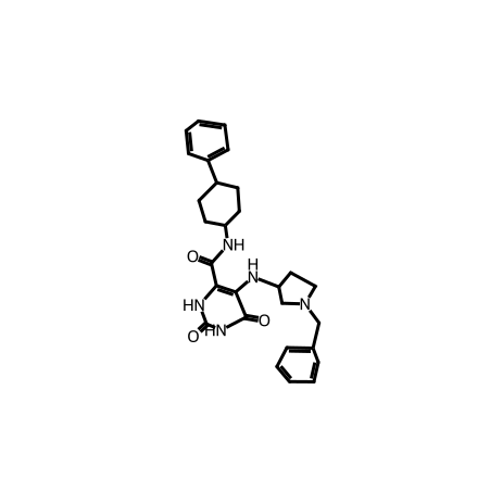 O=C(NC1CCC(c2ccccc2)CC1)c1[nH]c(=O)[nH]c(=O)c1NC1CCN(Cc2ccccc2)C1